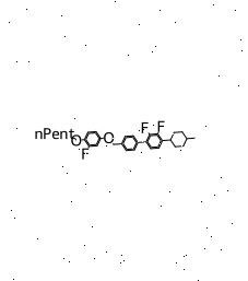 CCCCCOc1ccc(OCc2ccc(-c3ccc(C4CCC(C)CC4)c(F)c3F)cc2)cc1F